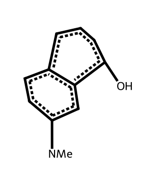 CNc1ccc2cccc(O)c2c1